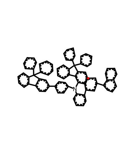 c1ccc(C2(c3ccccc3)c3ccccc3-c3ccc(-c4ccc(N(c5ccccc5-c5cccc(-c6cccc7ccccc67)c5)c5cccc6c5-c5ccccc5C6(c5ccccc5)c5ccccc5)cc4)cc32)cc1